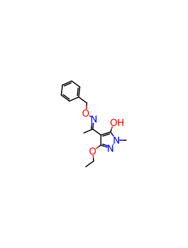 CCOc1nn(C)c(O)c1/C(C)=N/OCc1ccccc1